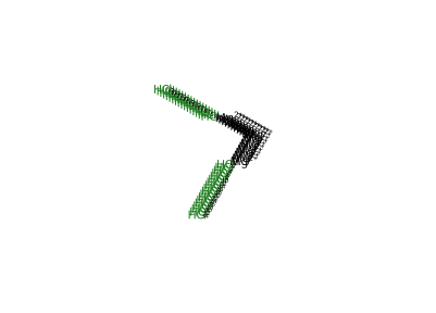 Cl.Cl.Cl.Cl.Cl.Cl.Cl.Cl.Cl.Cl.Cl.Cl.Cl.Cl.Cl.Cl.Cl.Cl.Cl.Cl.Cl.Cl.Cl.Cl.Cl.Cl.Cl.Cl.Cl.Cl.Cl.Cl.Cl.Cl.Cl.[Mg+2].[Mg+2].[Mg+2].[Mg+2].[Mg+2].[Mg+2].[Mg+2].[Mg+2].[Mg+2].[Mg+2].[Mg+2].[Mg+2].[Mg+2].[Mg+2].[Mg+2].[Mg+2].[Mg+2].[Mg+2].[Mg+2].[Mg+2]